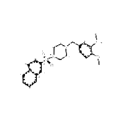 COc1ccc(CN2CCN(S(=O)(=O)c3ccc4ccccc4c3)CC2)cc1OC